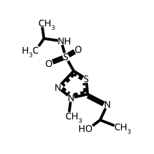 CC(O)/N=c1/sc(S(=O)(=O)NC(C)C)nn1C